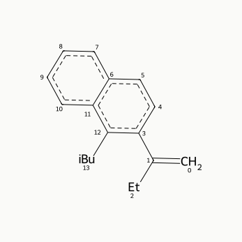 C=C(CC)c1ccc2ccccc2c1C(C)CC